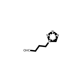 O=[C]CCCn1cnnn1